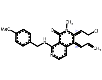 C=C/C=c1\c(=C/CCl)n(C)c(=O)c2c(NCc3ccc(OC)cc3)nccc12